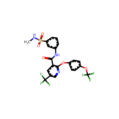 CNS(=O)(=O)c1cccc(NC(=O)c2cc(C(F)(F)F)cnc2Oc2ccc(OC(F)(F)F)cc2)c1